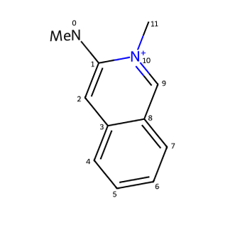 CNc1cc2ccccc2c[n+]1C